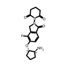 N[C@H]1CCC[C@@H]1Oc1ccc2c(c1F)CN(N1C(=O)CCCC1=O)C2=O